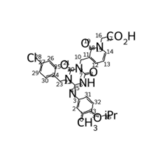 Cc1cc(/N=c2\[nH]c(=O)n(Cc3cccn(CC(=O)O)c3=O)c(=O)n2Cc2ccc(Cl)cc2)ccc1OC(C)C